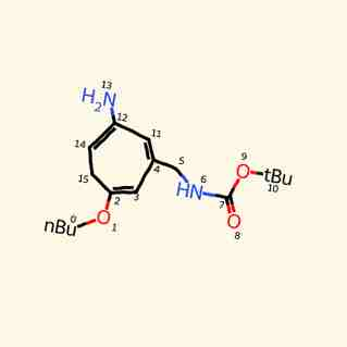 CCCCOC1=CC(CNC(=O)OC(C)(C)C)=CC(N)=CC1